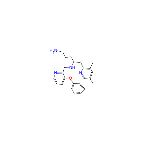 Cc1cnc(CC(CCCN)NCc2ncccc2Oc2ccccc2)c(C)c1